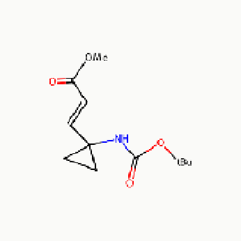 COC(=O)/C=C/C1(NC(=O)OC(C)(C)C)CC1